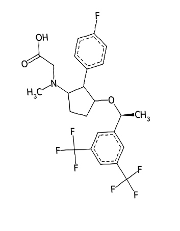 C[C@H](OC1CCC(N(C)CC(=O)O)C1c1ccc(F)cc1)c1cc(C(F)(F)F)cc(C(F)(F)F)c1